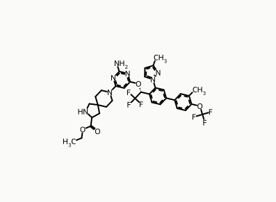 CCOC(=O)C1CC2(CCN(c3cc(O[C@H](c4ccc(-c5ccc(OC(F)(F)F)c(C)c5)cc4-n4ccc(C)n4)C(F)(F)F)nc(N)n3)CC2)CN1